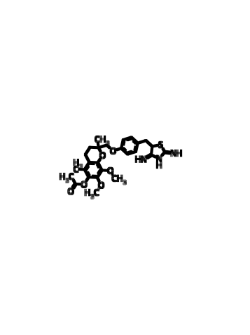 COc1c(OC(C)=O)c(C)c2c(c1OC)OC(C)(COc1ccc(CC3SC(=N)NC3=N)cc1)CC2